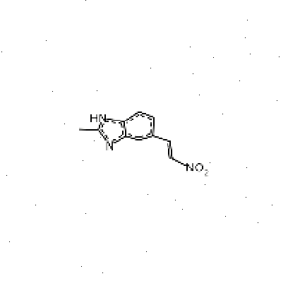 Cc1nc2cc(C=C[N+](=O)[O-])ccc2[nH]1